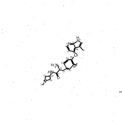 Cc1c[nH]c2nccc(Oc3ccc(CC(N)C(=O)NC4CN(C)C4)cc3F)c12